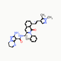 Cc1c(/C=C/c2cccc3cc([C@H](C)NC(=O)c4c(N)nn5c4N=CCC5)n(-c4ccccc4)c(=O)c23)cnn1C